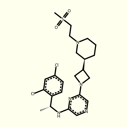 C[C@@H](Nc1cncc(N2CC([C@@H]3CCCN(CCS(C)(=O)=O)C3)C2)n1)c1ccc(Cl)cc1Cl